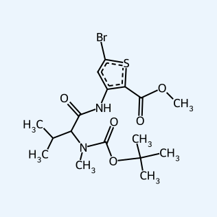 COC(=O)c1sc(Br)cc1NC(=O)C(C(C)C)N(C)C(=O)OC(C)(C)C